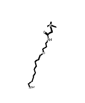 CCCCCCCCCCCCCCCCCCCOCCCNC(=O)C[N+](C)(C)C